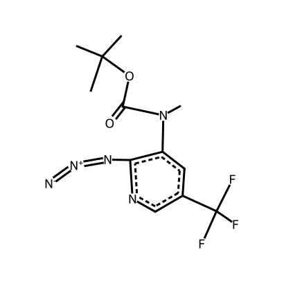 CN(C(=O)OC(C)(C)C)c1cc(C(F)(F)F)cnc1N=[N+]=[N-]